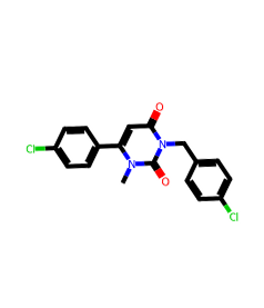 Cn1c(-c2ccc(Cl)cc2)cc(=O)n(Cc2ccc(Cl)cc2)c1=O